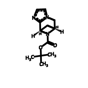 CC(C)(C)OC(=O)N1[C@H]2C[C@@H]1c1nccn1C2